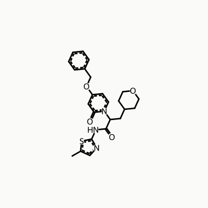 Cc1cnc(NC(=O)C(CC2CCOCC2)n2ccc(OCc3ccccc3)cc2=O)s1